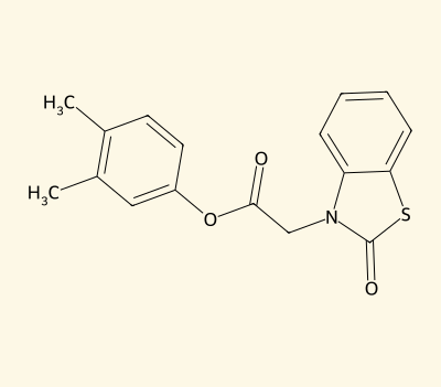 Cc1ccc(OC(=O)Cn2c(=O)sc3ccccc32)cc1C